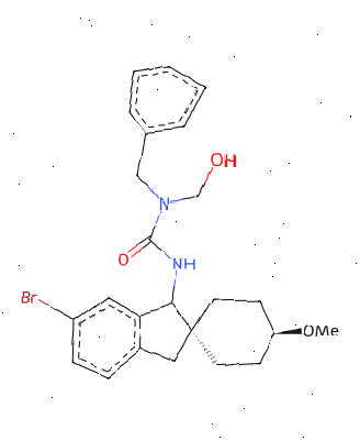 CO[C@H]1CC[C@]2(CC1)Cc1ccc(Br)cc1C2NC(=O)N(CO)Cc1ccccc1